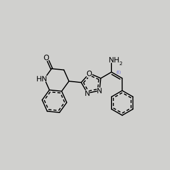 N/C(=C/c1ccccc1)c1nnc(C2CC(=O)Nc3ccccc32)o1